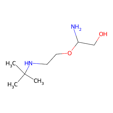 CC(C)(C)NCCOC(N)CO